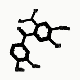 CCC(C(C)=O)c1cc(OC)c(O)cc1C(=O)c1ccc(OC)c(OC)c1